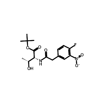 C[C@@H](O)[C@@H](NC(=O)Cc1ccc(F)c([N+](=O)[O-])c1)C(=O)OC(C)(C)C